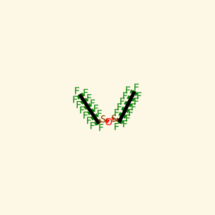 FC(F)(F)C(F)(F)C(F)(F)C(F)(F)C(F)(F)C(F)(F)SOSC(F)(F)C(F)(F)C(F)(F)C(F)(F)C(F)(F)C(F)(F)F